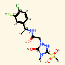 C[C@H](NC(=O)Cn1nc(S(C)(=O)=O)n(C)c1=O)c1ccc(Cl)c(F)c1